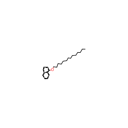 CCCCCCCCCCCCCCOc1cccc2ccccc12